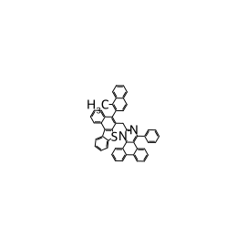 Cc1c(-c2c(Cc3nc(-c4ccccc4)c4c5ccccc5c5ccccc5c4n3)c3sc4ccccc4c3c3ccccc23)ccc2ccccc12